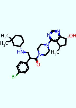 C[C@@H]1C[C@@H](O)c2ncnc(N3CCN(C(=O)C(CN[C@H]4CCCC(C)(C)C4)c4ccc(Br)cc4)CC3)c21